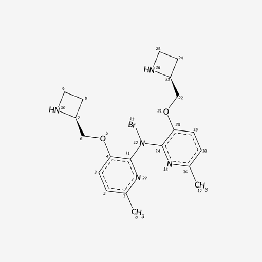 Cc1ccc(OC[C@@H]2CCN2)c(N(Br)c2nc(C)ccc2OC[C@@H]2CCN2)n1